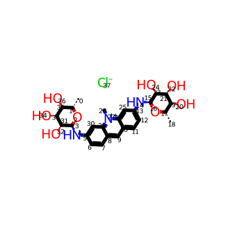 C[C@@H]1O[C@@H](Nc2ccc3cc4ccc(N[C@@H]5O[C@@H](C)[C@H](O)[C@@H](O)[C@H]5O)cc4[n+](C)c3c2)[C@H](O)[C@H](O)[C@H]1O.[Cl-]